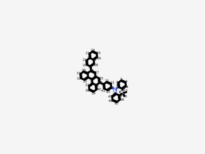 C[Si]1(C)c2ccccc2N(c2ccc(-c3cc4cc(-c5ccc6ccccc6c5)c5ccccc5c4c4ccccc34)cc2)c2ccccc21